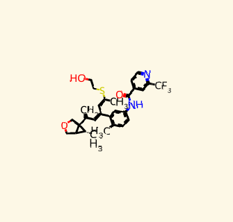 C=C(/C=C(\C=C(/C)SCCO)c1cc(NC(=O)c2ccnc(C(F)(F)F)c2)ccc1C)C12COCC1[C@H]2C